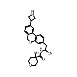 N#CC(Cc1ccc2c(c1)OCc1ccc(C3CNC3)cc1-2)NC(=O)C1(N)CCOCC1